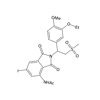 CCOc1cc(C(CS(C)(=O)=O)N2C(=O)c3cc(I)cc(NC(C)=O)c3C2=O)ccc1OC